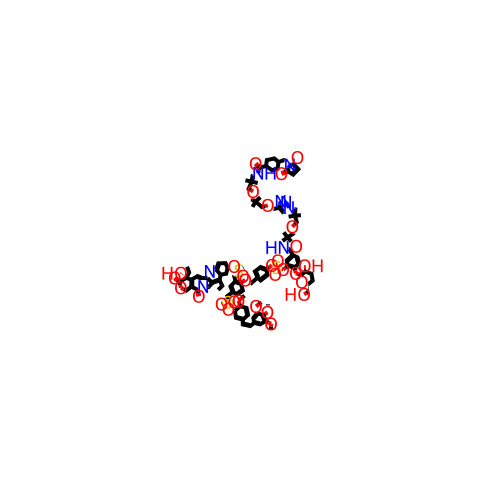 C=S(=O)(Cc1cc(CS(=O)(=O)OC2C=C(/C=C\c3cc(OC)c(OC)c(OC)c3)C=CC2OC)ccc1OCc1ccc(OS(=O)(=O)Oc2cc(C(=O)NCC(C)(C)COCC(C)(C)Cn3cc(COCC(C)(C)COCC(C)(C)CNC(=O)C4CCC(CN5C(=O)C=CC5=O)CC4)nn3)ccc2OC2O[C@@H](CO)CC[C@@H]2O)cc1)OC1CC=C2N=C3C(=C(CC)C2C1)Cn1c3cc2c(c1=O)COC(=O)[C@@]2(O)CC